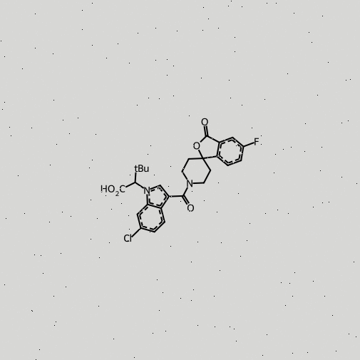 CC(C)(C)C(C(=O)O)n1cc(C(=O)N2CCC3(CC2)OC(=O)c2cc(F)ccc23)c2ccc(Cl)cc21